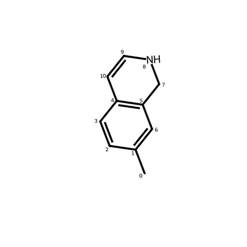 Cc1ccc2c(c1)CNC=C2